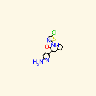 Nc1ccc(C(=CC2CCCC2)C(=O)Nc2ncc(Cl)s2)cn1